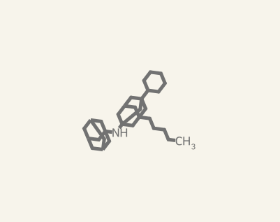 CCCCCC12CC3CC(NC45CC6CC(CC(C6)C4)C5)(C1)CC(C1CCCCC1)(C3)C2